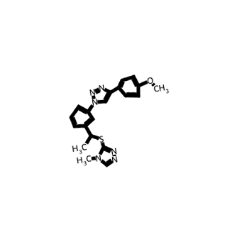 COc1ccc(-c2cn(-c3cccc(C(C)Sc4nncn4C)c3)nn2)cc1